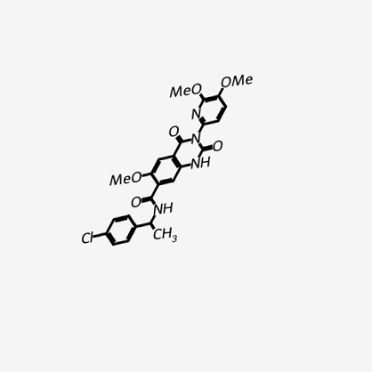 COc1cc2c(=O)n(-c3ccc(OC)c(OC)n3)c(=O)[nH]c2cc1C(=O)NC(C)c1ccc(Cl)cc1